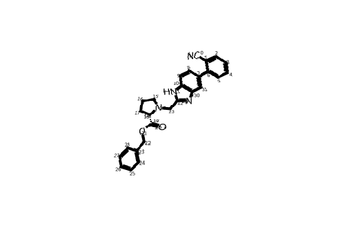 N#Cc1ccccc1-c1ccc2[nH]c(CN3CCC[C@H]3C(=O)OCc3ccccc3)nc2c1